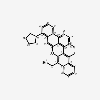 Cc1c2c(c(CC(C)(C)C)c3ccccc13)Oc1cc3c(C4CCCC4)cccc3c3nc[n+](C)c-2c13